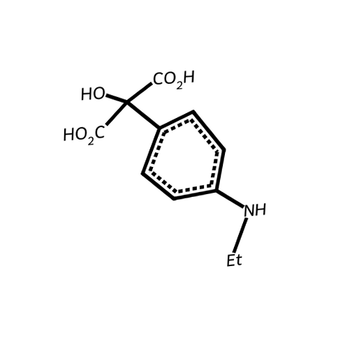 CCNc1ccc(C(O)(C(=O)O)C(=O)O)cc1